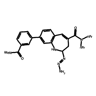 CCCN(CCC)C(=O)C1=Cc2ccc(-c3cccc(C(=O)NC)c3)cc2NC(N=NN)C1